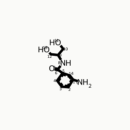 Nc1cccc(C(=O)NC(CO)CO)c1